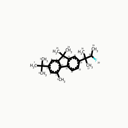 Cc1cc(C(C)(C)C)cc2c1-c1ccc(C(C)(C)C(C)F)cc1C2(C)C